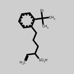 C=CC(CCCc1ccccc1C(C)(C)CC)S(=O)(=O)O